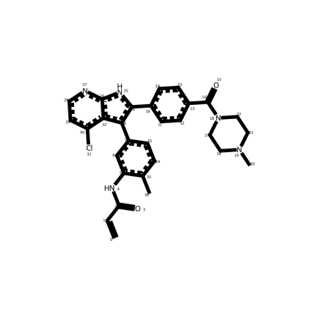 C=CC(=O)Nc1cc(-c2c(-c3ccc(C(=O)N4CCN(C)CC4)cc3)[nH]c3nccc(Cl)c23)ccc1C